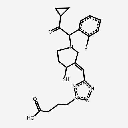 O=C(O)CCCn1nnc(C=C2CN(C(C(=O)C3CC3)c3ccccc3F)CCC2S)n1